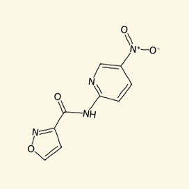 O=C(Nc1ccc([N+](=O)[O-])cn1)c1ccon1